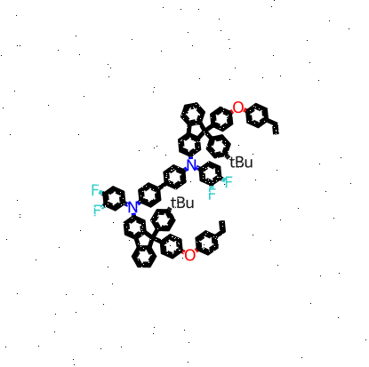 C=Cc1ccc(Oc2ccc(C3(c4ccc(C(C)(C)C)cc4)c4ccccc4-c4ccc(N(c5ccc(-c6ccc(N(c7ccc(F)c(F)c7)c7ccc8c(c7)C(c7ccc(Oc9ccc(C=C)cc9)cc7)(c7ccc(C(C)(C)C)cc7)c7ccccc7-8)cc6)cc5)c5ccc(F)c(F)c5)cc43)cc2)cc1